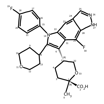 C[C@]1(C(=O)O)CC[C@H](c2c(C3CCOCC3)n(-c3ccc(F)cc3)c3cc4cn[nH]c4c(F)c23)CO1